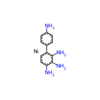 Nc1ccc(-c2ccc(N)c(N)c2N)cc1.[Ni]